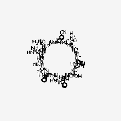 CCCC[C@H]1C(=O)N(C)[C@@H](CCCC)C(=O)N[C@@H](CCCNC(=N)N)C(=O)N[C@H](C(=O)NCC(N)=O)CSCC(=O)N[C@H]2Cc3cc(C#N)ccc3N(C2=O)[C@@H](C)C(=O)N[C@@H](CCC(N)=O)C(=O)N2CCC[C@H]2C(=O)N[C@@H](Cc2cnc[nH]2)C(=O)N[C@@H](CC(C)C)C(=O)N2C[C@H](O)CC2C(=O)N[C@@H](Cc2c[nH]c3ccccc23)C(=O)N[C@@H](CO)C(=O)N[C@@H](Cc2c[nH]c3ccccc23)C(=O)N1C